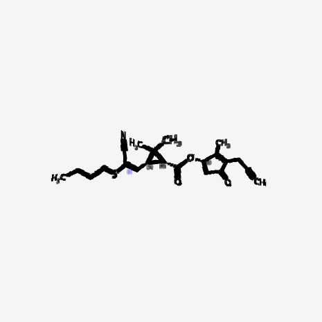 C#CCC1=C(C)[C@@H](OC(=O)[C@@H]2[C@@H](/C=C(\C#N)SCCCC)C2(C)C)CC1=O